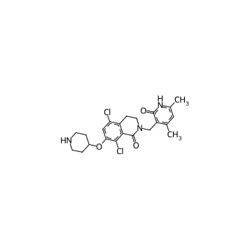 Cc1cc(C)c(CN2CCc3c(Cl)cc(OC4CCNCC4)c(Cl)c3C2=O)c(=O)[nH]1